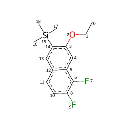 CCOc1cc2c(F)c(F)ccc2cc1[Si](C)(C)C